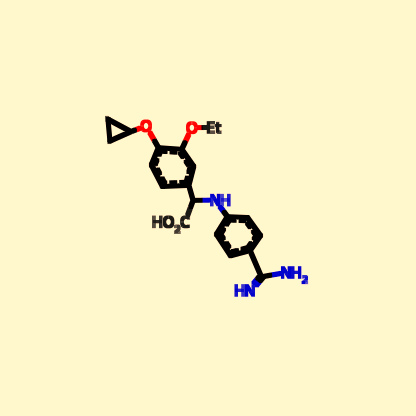 CCOc1cc(C(Nc2ccc(C(=N)N)cc2)C(=O)O)ccc1OC1CC1